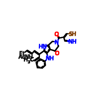 C\C=C/C(=C\C(=C\CC)NC(C)=O)c1[nH]c2c(c1Nc1ccccc1)C(=O)CN(C(=O)/C(C=N)=C/S)C2